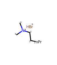 Br.CCCCCN(C)C